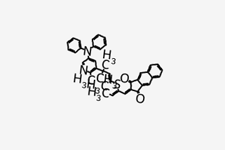 C/C=C(/C=C1C(=O)c2cc3ccccc3cc2C1=O)S/C(C)=C/C(C)(C)c1cc(N(c2ccccc2)c2ccccc2)cnc1C